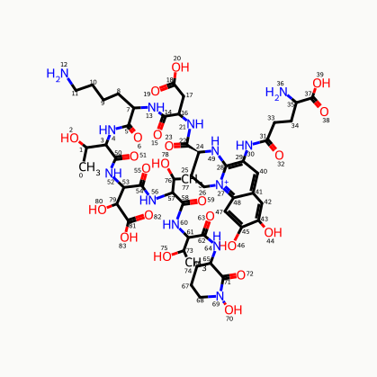 CC(O)C(NC(=O)C(CCCCN)NC(=O)C(CC(=O)O)NC(=O)[C@@H]1CC[n+]2c(c(NC(=O)CCC(N)C(=O)O)cc3cc(O)c(O)cc32)N1)C(=O)NC(C(=O)NC(C(=O)NC(C(=O)NC1CCCN(O)C1=O)C(C)O)C(C)O)C(O)C(=O)O